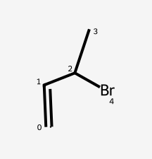 [CH]=CC(C)Br